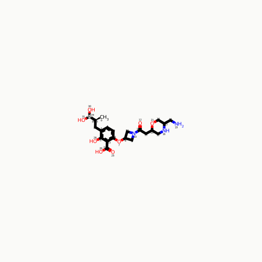 C[C@@H](Cc1ccc(OC2CN(C(=O)CC3CNC(CN)CO3)C2)c(C(=O)O)c1O)B(O)O